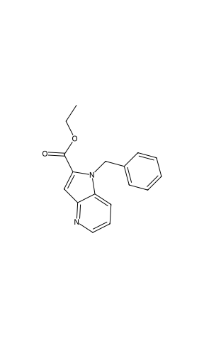 CCOC(=O)c1cc2ncccc2n1Cc1ccccc1